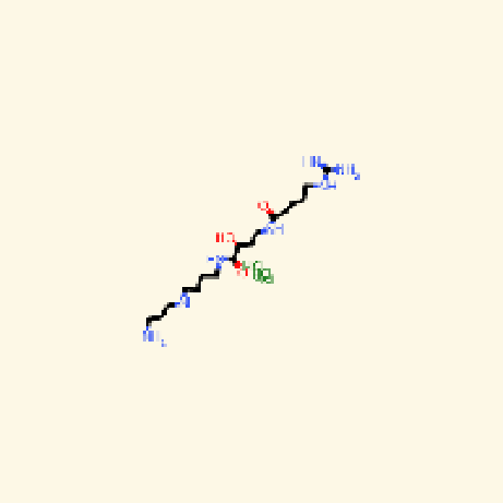 Cl.Cl.Cl.N=C(N)NCCCCC(=O)NCCC(O)C(=O)NCCCCNCCCN